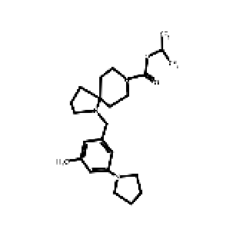 Cc1cc(CN2CCCC23CCN(C(=O)OC(C(F)(F)F)C(F)(F)F)CC3)cc(N2CCCC2)c1